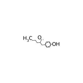 CCCCC([C]=O)Cc1ccc(O)cc1